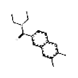 CCN(CC)C(=O)c1ccc2cc(C)c(C)cc2c1